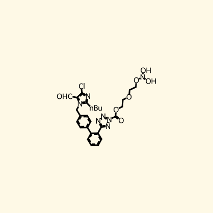 CCCCc1nc(Cl)c(C=O)n1Cc1ccc(-c2ccccc2-c2nnn(C(=O)OCCOCCON(O)O)n2)cc1